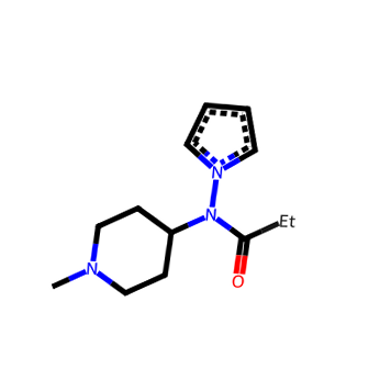 CCC(=O)N(C1CCN(C)CC1)n1cccc1